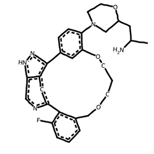 CC(N)CC1CN(c2ccc3cc2OCCCOCc2cccc(F)c2-c2cc4c-3n[nH]c4cn2)CCO1